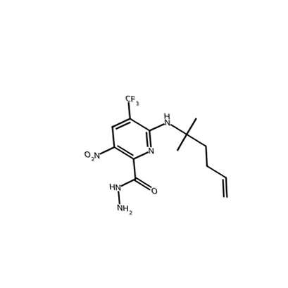 C=CCCC(C)(C)Nc1nc(C(=O)NN)c([N+](=O)[O-])cc1C(F)(F)F